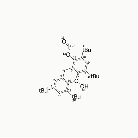 CC(C)(C)c1cc(Cc2cc(C(C)(C)C)cc(C(C)(C)C)c2OP=O)c(OO)c(C(C)(C)C)c1